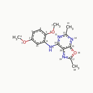 COc1ccc(OC)c(Nc2nc(C)nc3oc(C)nc23)c1